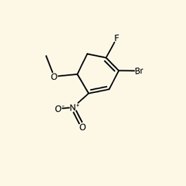 COC1CC(F)=C(Br)C=C1[N+](=O)[O-]